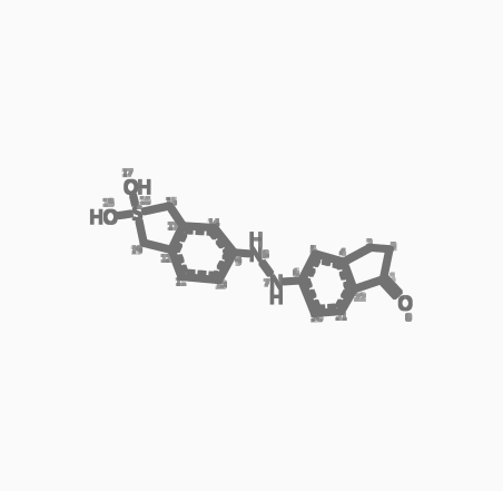 O=C1CCc2cc(NNc3ccc4c(c3)CS(O)(O)C4)ccc21